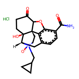 Cl.NC(=O)c1ccc2c3c1OC1C(=O)CC[C@@]4(O)[C@@H](C2)[N+]([O-])(CC2CC2)CC[C@]314